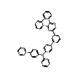 c1ccc(-c2ccc(N(c3ccccc3)c3ccc(-c4cccc(-c5cnc6c7ccccc7c7ccccc7c6n5)c4)cc3)cc2)cc1